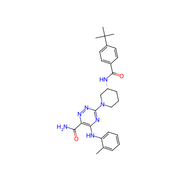 Cc1ccccc1Nc1nc(N2CCC[C@@H](NC(=O)c3ccc(C(C)(C)C)cc3)C2)nnc1C(N)=O